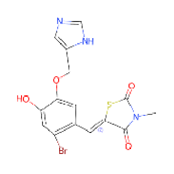 CN1C(=O)S/C(=C\c2cc(OCc3cnc[nH]3)c(O)cc2Br)C1=O